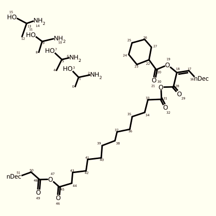 CC(N)O.CC(N)O.CC(N)O.CC(N)O.CCCCCCCCCCC=C(OC(=O)C1CCCCC1)C(=O)OC(=O)CCCCCCCCCCCCC(=O)OC(=O)CCCCCCCCCCC